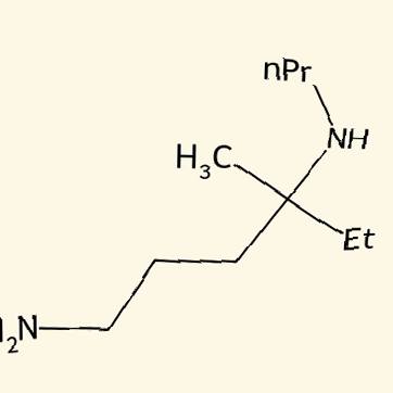 CCCNC(C)(CC)CCCN